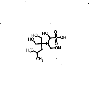 CC(C)CC(CO)(CO)N(CO)C(O)S(=O)(=O)O